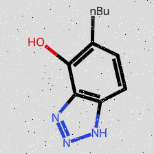 CCCCc1ccc2[nH]nnc2c1O